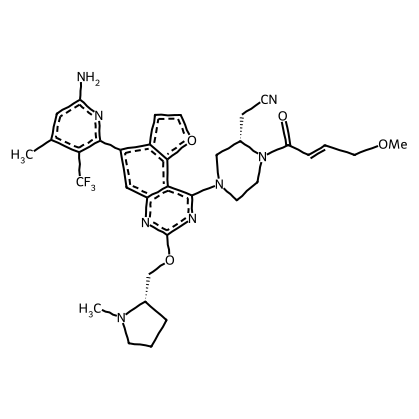 COC/C=C/C(=O)N1CCN(c2nc(OC[C@@H]3CCCN3C)nc3cc(-c4nc(N)cc(C)c4C(F)(F)F)c4ccoc4c23)C[C@@H]1CC#N